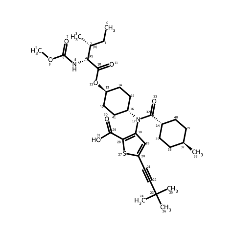 CC[C@@H](C)[C@@H](NC(=O)OC)C(=O)O[C@H]1CC[C@H](N(c2cc(C#CC(C)(C)C)sc2C(=O)O)C(=O)[C@H]2CC[C@H](C)CC2)CC1